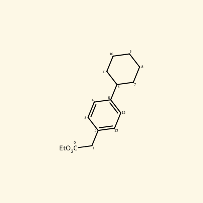 CCOC(=O)Cc1ccc(C2CCCCC2)cc1